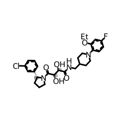 CCOc1cc(F)ccc1N1CCC(CNC(=O)[C@H](O)[C@@H](O)C(=O)N2CCC[C@@H]2c2cccc(Cl)c2)CC1